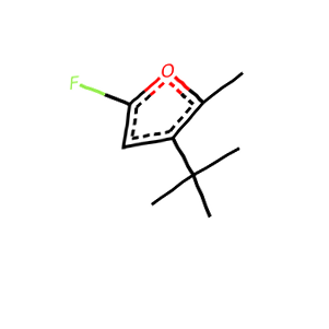 Cc1oc(F)cc1C(C)(C)C